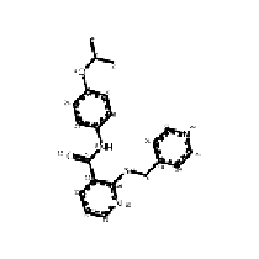 CC(C)Oc1ccc(NC(=O)c2cccnc2SCc2ccncc2)cc1